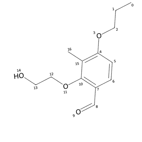 CCCOc1ccc(C=O)c(OCCO)c1C